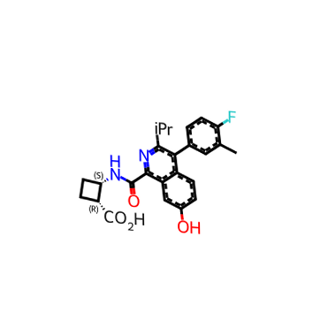 Cc1cc(-c2c(C(C)C)nc(C(=O)N[C@H]3CC[C@H]3C(=O)O)c3cc(O)ccc23)ccc1F